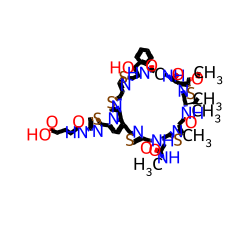 CNC(=O)C[C@@H]1NC(=O)c2csc(n2)-c2ccc(-c3nc(NC(=O)CCCC(=O)O)cs3)nc2-c2csc(n2)-c2csc(n2)[C@H]([C@@H](O)c2ccccc2)NC(=O)CNC(=O)c2nc(sc2COC)[C@@H](C(C)C)NC(=O)c2nc1sc2C